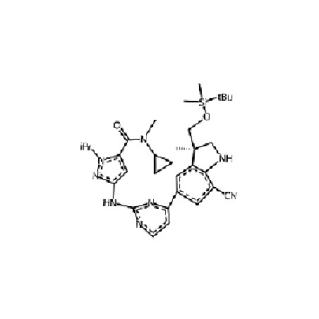 CC(C)n1nc(Nc2nccc(-c3cc(C#N)c4c(c3)[C@@](C)(CO[Si](C)(C)C(C)(C)C)CN4)n2)cc1C(=O)N(C)C1CC1